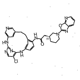 O=C(C[C@@H]1CCCN(c2nc3cccnc3o2)C1)Nc1ccc2cc1CCc1cncc(c1)Nc1ncc(Cl)c(n1)N2